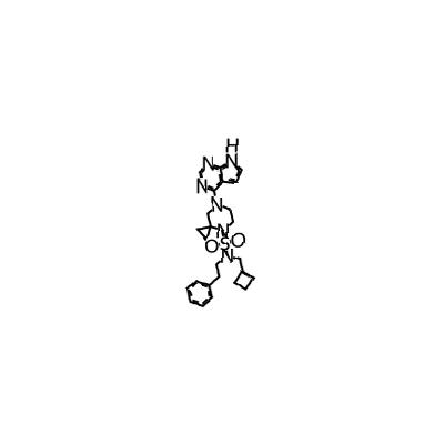 O=S(=O)(N(CCc1ccccc1)CC1CCC1)N1CCN(c2ncnc3[nH]ccc23)CC12CC2